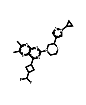 Cc1nc2nc(N3CCOC(c4cnn(C5CC5)c4)C3)nc(C3CC(C(F)F)C3)c2nc1C